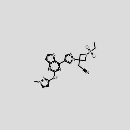 CCS(=O)(=O)N1CC(CC#N)(n2cc(-c3nc(Nc4ccn(C)n4)nc4ccsc34)cn2)C1